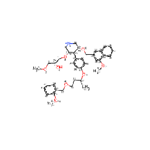 COC[C@@H](O)CO[C@@H]1CNC[C@H](OCc2cc(OC)c3ccccc3c2)C1c1ccc(OC(C)CCOCc2ccccc2OC)cc1